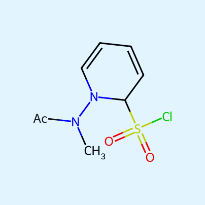 CC(=O)N(C)N1C=CC=CC1S(=O)(=O)Cl